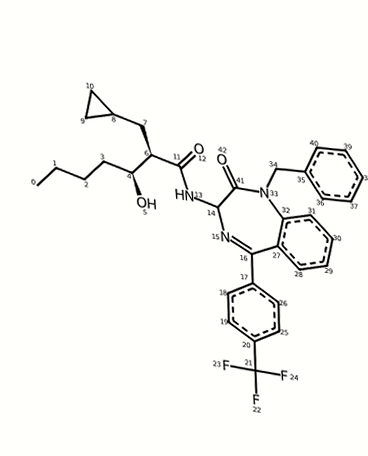 CCCC[C@H](O)[C@@H](CC1CC1)C(=O)NC1N=C(c2ccc(C(F)(F)F)cc2)c2ccccc2N(Cc2ccccc2)C1=O